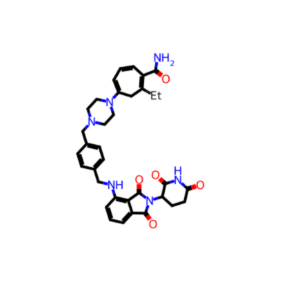 CCC1=C(C(N)=O)C=CC=C(N2CCN(Cc3ccc(CNc4cccc5c4C(=O)N(C4CCC(=O)NC4=O)C5=O)cc3)CC2)C1